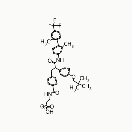 Cc1cc(NC(=O)C(Cc2ccc(C(=O)NCCS(=O)(=O)O)cc2)c2ccc(OCC(C)(C)C)cc2)ccc1-c1ccc(C(F)(F)F)cc1C